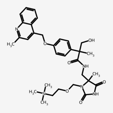 Cc1cc(COc2ccc(C(C)(CO)C(=O)NCC3(C)C(=O)NC(=O)N3COCC[Si](C)(C)C)cc2)c2ccccc2n1